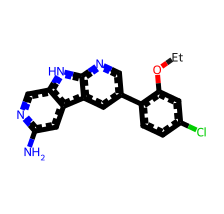 CCOc1cc(Cl)ccc1-c1cnc2[nH]c3cnc(N)cc3c2c1